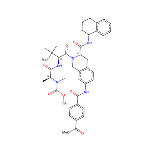 COC(=O)c1ccc(C(=O)Nc2ccc3c(c2)CN(C(=O)[C@@H](NC(=O)[C@H](C)N(C)C(=O)OC(C)(C)C)C(C)(C)SC)[C@H](C(=O)NC2CCCc4ccccc42)C3)cc1